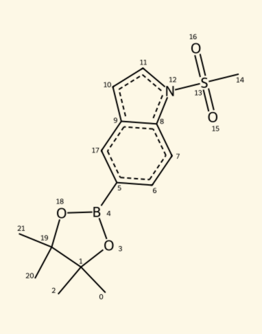 CC1(C)OB(c2ccc3c(ccn3S(C)(=O)=O)c2)OC1(C)C